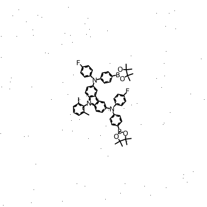 Cc1cccc(C)c1-n1c2ccc(N(c3ccc(F)cc3)c3ccc(B4OC(C)(C)C(C)(C)O4)cc3)cc2c2cc(N(c3ccc(F)cc3)c3ccc(B4OC(C)(C)C(C)(C)O4)cc3)ccc21